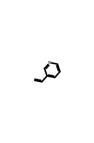 C=Cc1[c]nccc1